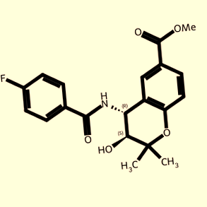 COC(=O)c1ccc2c(c1)[C@@H](NC(=O)c1ccc(F)cc1)[C@H](O)C(C)(C)O2